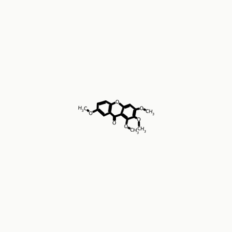 COc1ccc2oc3cc(OC)c(OC)c(OC)c3c(=O)c2c1